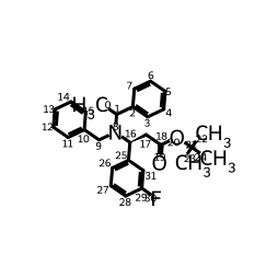 CC(c1ccccc1)N(Cc1ccccc1)[C@@H](CC(=O)OC(C)(C)C)c1cccc(F)c1